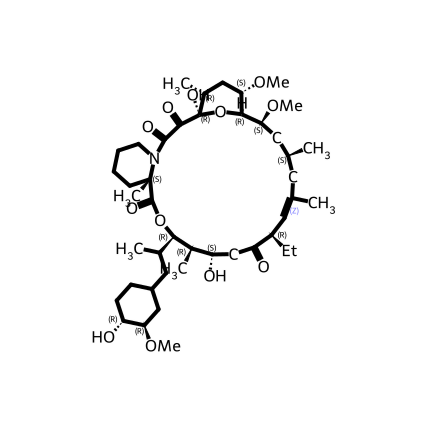 CC[C@@H]1/C=C(/C)C[C@H](C)C[C@H](OC)[C@H]2O[C@@](O)(C(=O)C(=O)N3CCCC[C@@]3(C)C(=O)O[C@H](C(C)CC3CC[C@@H](O)[C@H](OC)C3)[C@H](C)[C@@H](O)CC1=O)[C@H](C)C[C@@H]2OC